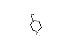 CC(C)N1CC[SiH2]CC1